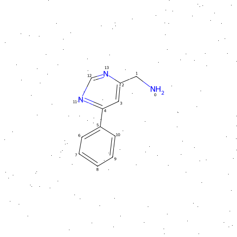 NCc1cc(-c2ccccc2)ncn1